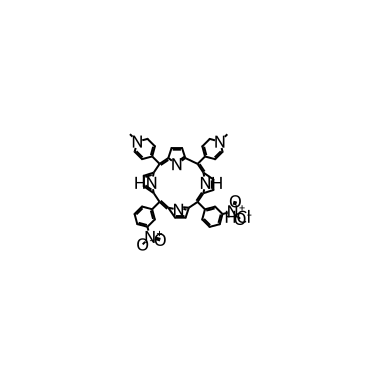 CN1C=CC(c2c3nc(c(C4=CCN(C)C=C4)c4ccc([nH]4)c(-c4cccc([N+](=O)[O-])c4)c4nc(c(-c5cccc([N+](=O)[O-])c5)c5ccc2[nH]5)C=C4)C=C3)=CC1.Cl